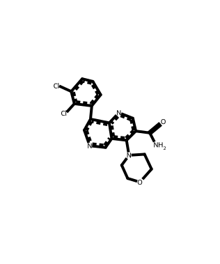 NC(=O)c1cnc2c(-c3cccc(Cl)c3Cl)cncc2c1N1CCOCC1